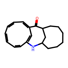 O=C1c2cccccccc(c2)NC2CCCCCCC1C2